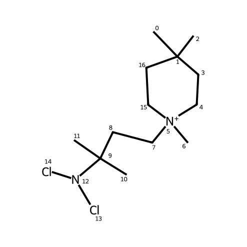 CC1(C)CC[N+](C)(CCC(C)(C)N(Cl)Cl)CC1